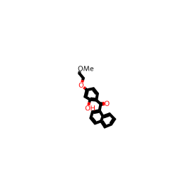 COCCOc1ccc(C(=O)c2cccc3ccccc23)c(O)c1